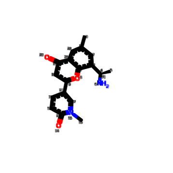 Cc1cc([C@@H](C)N)c2oc(-c3ccc(=O)n(C)c3)cc(=O)c2c1